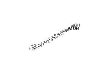 OCC(O)COCCCCCCCCCCCCCCCCCCCCCCOCC(O)CO